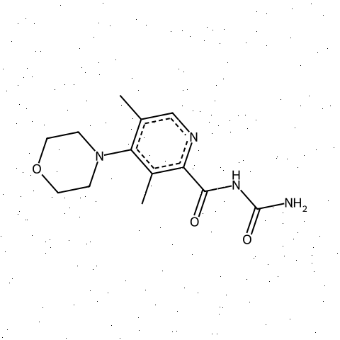 Cc1cnc(C(=O)NC(N)=O)c(C)c1N1CCOCC1